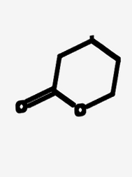 O=C1C[CH]CCO1